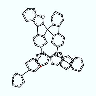 c1ccc(-c2ccc(N(c3ccc(-c4ccccc4)cc3)c3ccc4c(c3)C3(c5ccccc5-c5ccc(N(c6ccccc6)c6ccccc6)cc53)c3oc5ccccc5c3-4)cc2)cc1